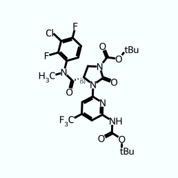 CN(C(=O)[C@@H]1CN(C(=O)OC(C)(C)C)C(=O)N1c1cc(C(F)(F)F)cc(NC(=O)OC(C)(C)C)n1)c1ccc(F)c(Cl)c1F